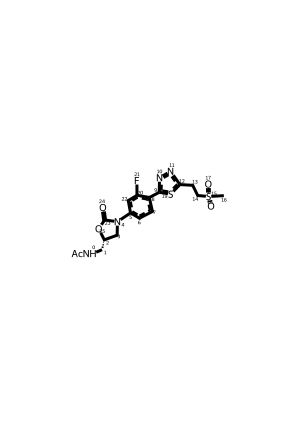 CC(=O)NC[C@H]1CN(c2ccc(-c3nnc(CCS(C)(=O)=O)s3)c(F)c2)C(=O)O1